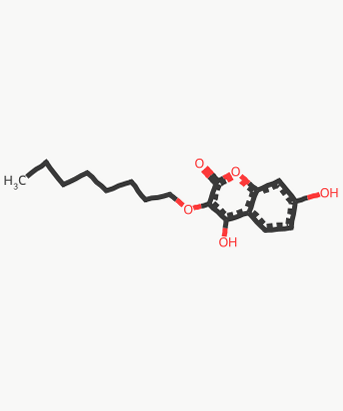 CCCCCCCCOc1c(O)c2ccc(O)cc2oc1=O